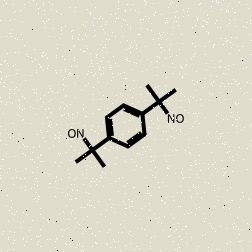 CC(C)(N=O)c1ccc(C(C)(C)N=O)cc1